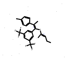 CC/C=C(\C)S/C(=C(\C)c1ccc(C)cc1)c1cc(C(F)(F)F)cc(C(F)(F)F)c1